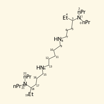 CCCN(CCC)C(CC)CCCNCCCCCNCCCC(CC)N(CCC)CCC